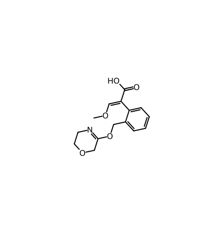 CO/C=C(/C(=O)O)c1ccccc1COC1=NCCOC1